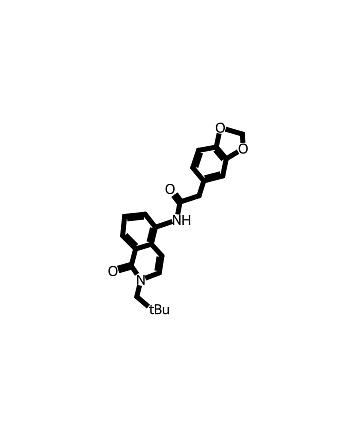 CC(C)(C)Cn1ccc2c(NC(=O)Cc3ccc4c(c3)OCO4)cccc2c1=O